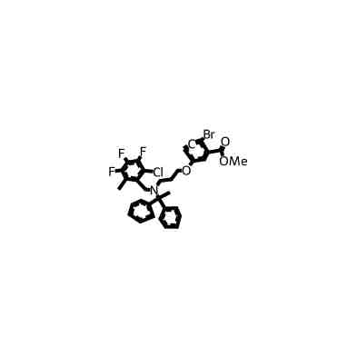 COC(=O)c1cc(OCCCN(Cc2c(C)c(F)c(F)c(F)c2Cl)C(C)(c2ccccc2)c2ccccc2)ccc1Br